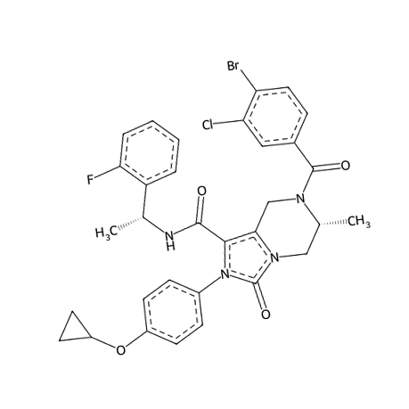 C[C@@H]1Cn2c(c(C(=O)N[C@H](C)c3ccccc3F)n(-c3ccc(OC4CC4)cc3)c2=O)CN1C(=O)c1ccc(Br)c(Cl)c1